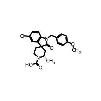 COc1ccc(CN2C(=O)C3(CCN(C(=O)O)[C@@H](C)C3)c3cc(Cl)ccc32)cc1